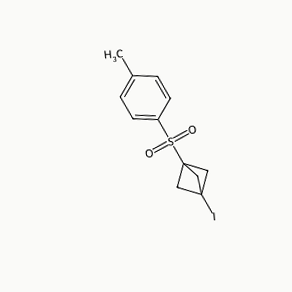 Cc1ccc(S(=O)(=O)C23CC(I)(C2)C3)cc1